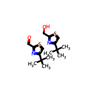 CC(C)(C)c1csc(C=O)n1.CC(C)(C)c1csc(CO)n1